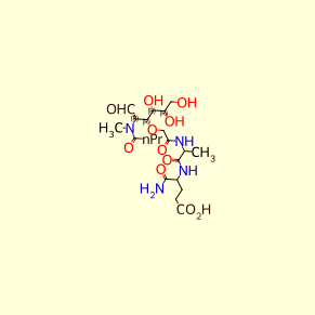 CCCC(=O)N(C)[C@@H](C=O)[C@@H](OCC(=O)NC(C)C(=O)NC(CCC(=O)O)C(N)=O)[C@H](O)[C@H](O)CO